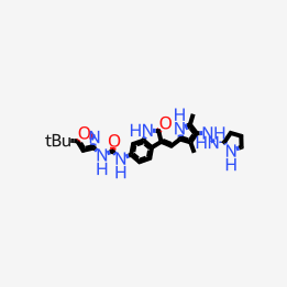 Cc1[nH]c(/C=C2\C(=O)Nc3cc(NC(=O)Nc4cc(C(C)(C)C)on4)ccc32)c(C)c1NN[C@@H]1CCCN1